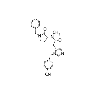 CN(C(=O)Cc1cncn1Cc1ccc(C#N)cc1)C1CCN(Cc2ccccc2)C1=O